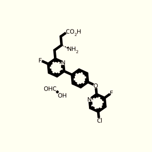 N[C@@H](CC(=O)O)Cc1nc(-c2ccc(Oc3ncc(Cl)cc3F)cc2)ccc1F.O=CO